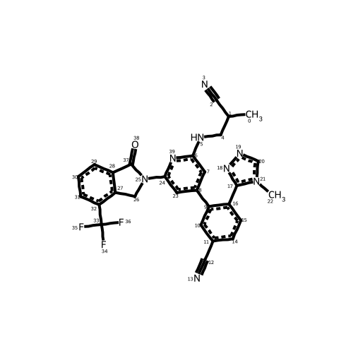 CC(C#N)CNc1cc(-c2cc(C#N)ccc2-c2nncn2C)cc(N2Cc3c(cccc3C(F)(F)F)C2=O)n1